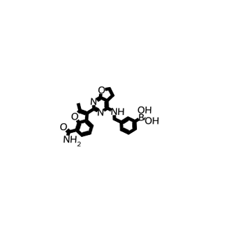 Cc1oc2c(C(N)=O)cccc2c1-c1nc(NCc2cccc(B(O)O)c2)c2c(n1)OCC2